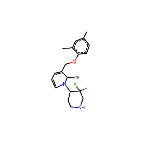 Cc1ccc(OCC2=CC=CN(C3CCNCC3(F)F)C2C(F)(F)F)c(C)c1